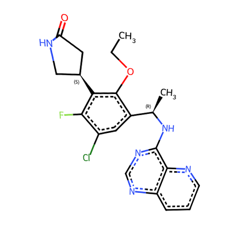 CCOc1c([C@@H](C)Nc2ncnc3cccnc23)cc(Cl)c(F)c1[C@H]1CNC(=O)C1